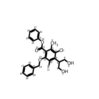 Cc1c(Cl)c(C(CO)CO)c(F)c(OCc2ccccc2)c1C(=O)Oc1ccccc1